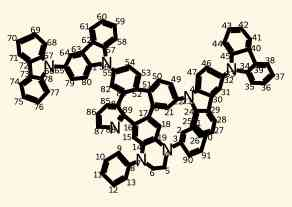 c1ccc(N2CCN(c3ccccc3)c3cc4c(cc32)-c2cc(-n3c5ccccc5c5cc(-n6c7ccccc7c7ccccc76)ccc53)ccc2-c2ccc(-n3c5ccccc5c5cc(-n6c7ccccc7c7ccccc76)ccc53)cc2-c2cccnc2-4)cc1